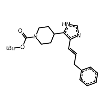 CC(C)(C)OC(=O)N1CCC(c2[nH]cnc2C=CCc2ccccc2)CC1